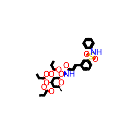 CCC(=O)O[C@H]1[C@H](OC(=O)CC)[C@H](ONC(=O)/C=C/c2cccc(S(=O)(=O)Nc3ccccc3)c2)O[C@@H](C)[C@H]1OC(=O)CC